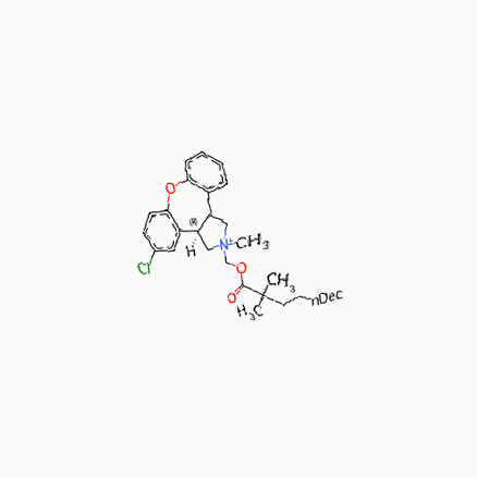 CCCCCCCCCCCCC(C)(C)C(=O)OC[N+]1(C)CC2c3ccccc3Oc3ccc(Cl)cc3[C@@H]2C1